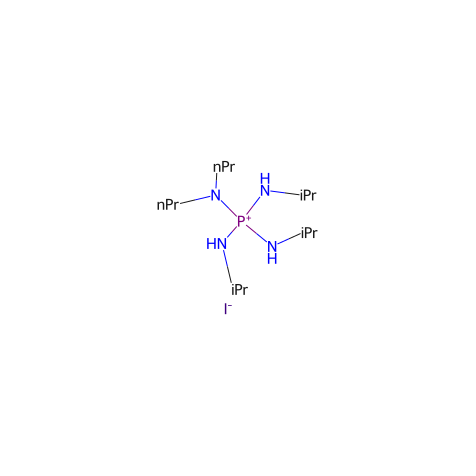 CCCN(CCC)[P+](NC(C)C)(NC(C)C)NC(C)C.[I-]